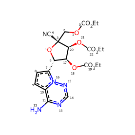 CCOC(=O)OC[C@@]1(C#N)O[C@@H](c2ccc3c(N)ncnn23)[C@H](OC(=O)OCC)[C@@H]1OC(=O)OCC